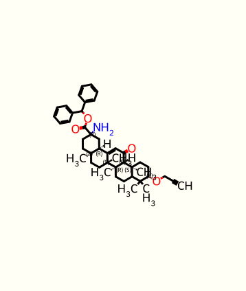 C#CCO[C@H]1CC[C@@]2(C)C(CC[C@]3(C)[C@@H]2C(=O)C=C2[C@@H]4C[C@@](N)(C(=O)OC(c5ccccc5)c5ccccc5)CC[C@]4(C)CC[C@]23C)C1(C)C